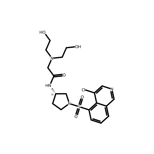 O=C(CN(CCO)CCO)N[C@H]1CCN(S(=O)(=O)c2cccc3cncc(Cl)c23)C1